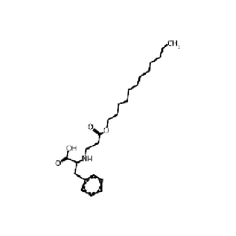 CCCCCCCCCCCCOC(=O)CCNC(Cc1ccccc1)C(=O)O